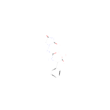 O=C1CN(NC(=O)NC(C(=O)O)c2ccccc2)C(=O)N1